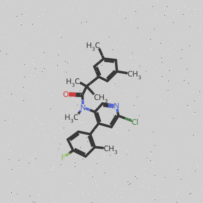 Cc1cc(C)cc(C(C)(C)C(=O)N(C)c2cnc(Cl)cc2-c2ccc(F)cc2C)c1